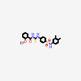 CCOc1ccccc1C(=O)NC(=S)Nc1ccc(S(=O)(=O)Nc2ccc(C)c(C)c2)cc1